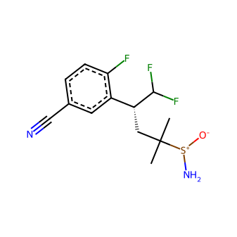 CC(C)(C[C@H](c1cc(C#N)ccc1F)C(F)F)[S+](N)[O-]